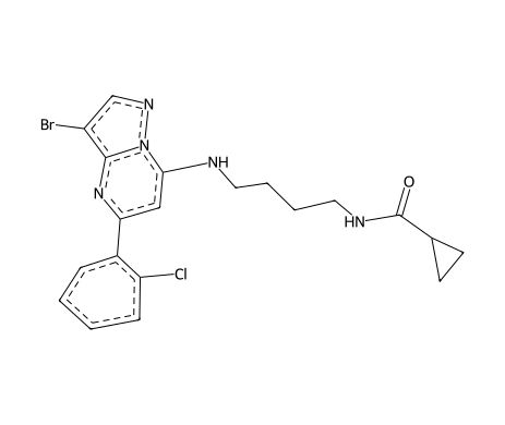 O=C(NCCCCNc1cc(-c2ccccc2Cl)nc2c(Br)cnn12)C1CC1